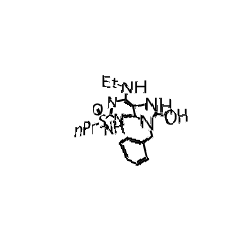 CCCS(=N)(=O)c1nc(NCC)c2c(n1)N(Cc1ccccc1)C(O)N2